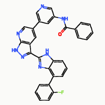 O=C(Nc1cncc(-c2cnc3[nH]nc(-c4nc5c(-c6ccccc6F)cccc5[nH]4)c3c2)c1)c1ccccc1